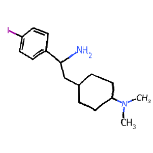 CN(C)C1CCC(CC(N)c2ccc(I)cc2)CC1